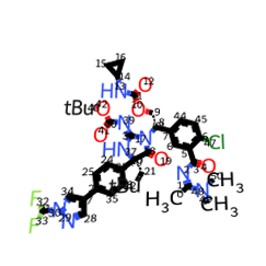 CC(=NC(=O)c1cc([C@@H](COC(=O)NC2CC2)N2C(=O)[C@@](CC(C)(C)C)(c3ccc(-c4cnn(C(F)F)c4)cc3)NC2=NC(=O)OC(C)(C)C)ccc1Cl)N(C)C